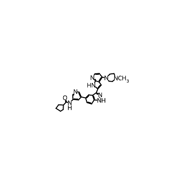 CN1CCN(c2ccnc3[nH]c(-c4n[nH]c5ccc(-c6cncc(NC(=O)C7CCCC7)c6)cc45)cc23)CC1